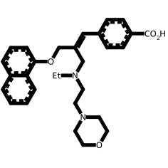 CCN(CCN1CCOCC1)C/C(=C\c1ccc(C(=O)O)cc1)COc1cccc2ccccc12